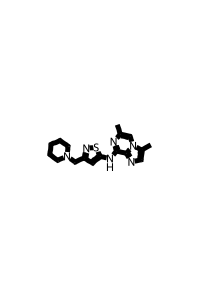 Cc1cn2c(C)cnc2c(Nc2cc(CN3CCCCC3)ns2)n1